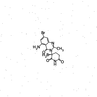 B[C@@]1(n2c(C)nc3cc(Br)cc(N)c3c2=O)CCC(=O)NC1=O